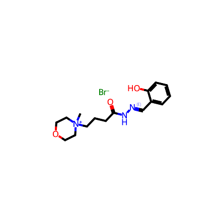 C[N+]1(CCCC(=O)N/N=C/c2ccccc2O)CCOCC1.[Br-]